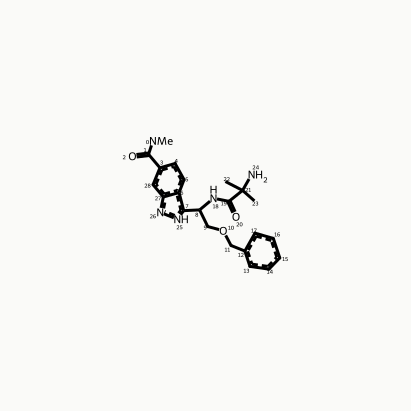 CNC(=O)c1ccc2c(C(COCc3ccccc3)NC(=O)C(C)(C)N)[nH]nc2c1